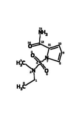 CCN(C)S(=O)(=O)n1cccc1C(N)=O